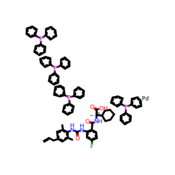 C=CCc1cc(C)c(NC(=O)Nc2cc(F)ccc2C(=O)N[C@@](C)(C(=O)O)C2CCCCC2)c(C)c1.[Pd].c1ccc(P(c2ccccc2)c2ccccc2)cc1.c1ccc(P(c2ccccc2)c2ccccc2)cc1.c1ccc(P(c2ccccc2)c2ccccc2)cc1.c1ccc(P(c2ccccc2)c2ccccc2)cc1